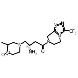 CC1CN(C[C@@H](N)CC(=O)N2CCn3c(nnc3C(F)(F)F)C2)CC[S+]1[O-]